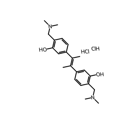 C/C(=C(/C)c1ccc(CN(C)C)c(O)c1)c1ccc(CN(C)C)c(O)c1.Cl.Cl